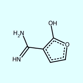 N=C(N)c1ccoc1O